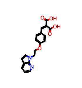 O=C(O)C(=Cc1ccc(OCCn2ccc3cccnc32)cc1)C(=O)O